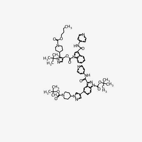 CC(C)(C)OC(=O)N1CCC(n2cc(-c3ccc4c(c3)c(C(=O)Nc3ccncc3)nn4C(=O)OC(C)(C)C)cn2)CC1.CCCCOC(=O)N1CCC(c2c(OC(=O)n3cc(C(=O)Nc4ccncc4)c4ccccc43)cnn2C(C)(C)C)CC1